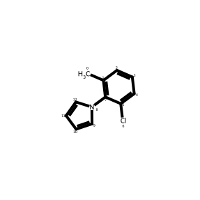 Cc1cccc(Cl)c1-n1cccc1